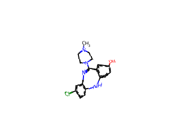 CN1CCN(C2=Nc3cc(Cl)ccc3Nc3ccc(O)cc32)CC1